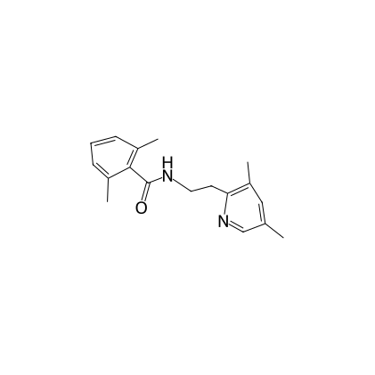 Cc1cnc(CCNC(=O)c2c(C)cccc2C)c(C)c1